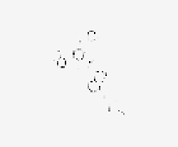 COc1cc(COC2CCN(C)CC2)c2nccc(N3CCc4c(cc(Cn5ccnc5)cc4-c4cn(C)nc4C(F)(F)F)C3=O)c2c1